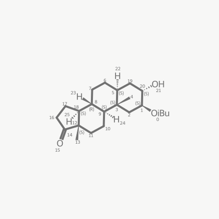 CC(C)CO[C@H]1C[C@@]2(C)[C@@H](CC[C@@H]3[C@@H]2CC[C@]2(C)C(=O)CC[C@@H]32)C[C@@H]1O